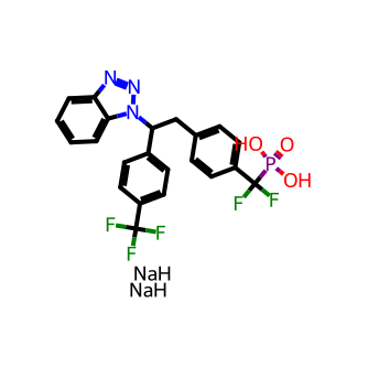 O=P(O)(O)C(F)(F)c1ccc(CC(c2ccc(C(F)(F)F)cc2)n2nnc3ccccc32)cc1.[NaH].[NaH]